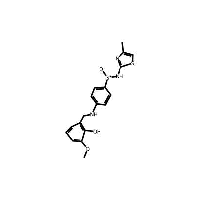 COc1cccc(CNc2ccc([S+]([O-])Nc3nc(C)cs3)cc2)c1O